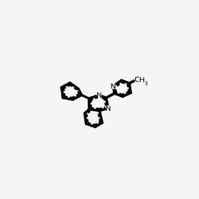 Cc1ccc(-c2nc(-c3ccccc3)c3ccccc3n2)nc1